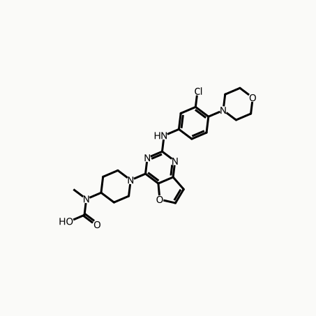 CN(C(=O)O)C1CCN(c2nc(Nc3ccc(N4CCOCC4)c(Cl)c3)nc3ccoc23)CC1